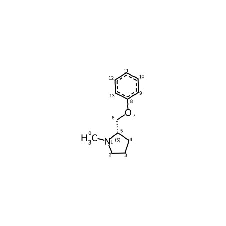 CN1CCC[C@H]1COc1c[c]ccc1